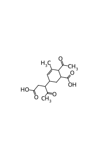 CC(=O)C(CC(=O)O)C1C=C(C)C(C(C)=O)C(C(=O)O)C1